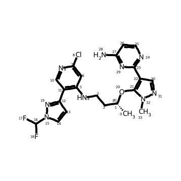 C[C@H](CCNc1cc(Cl)ncc1-c1ccn(C(F)F)n1)Oc1c(-c2nccc(N)n2)cnn1C